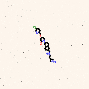 O=c1cc(OCc2ccc(Cl)cn2)ccn1C1=Cc2ccc(CNCCC3CNC3)cc2CC1